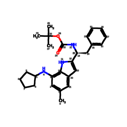 Cc1cc(NC2CCCC2)c2[nH]c([C@@H](Cc3ccccc3)NC(=O)OC(C)(C)C)cc2c1